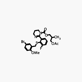 COc1ccc(Br)cc1CSc1c(F)cccc1C1=NCCCN1C(=O)OCC(C)COC(C)=O